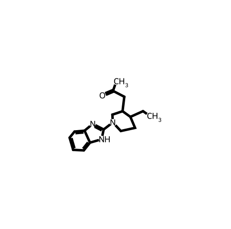 CCC1CCN(c2nc3ccccc3[nH]2)CC1CC(C)=O